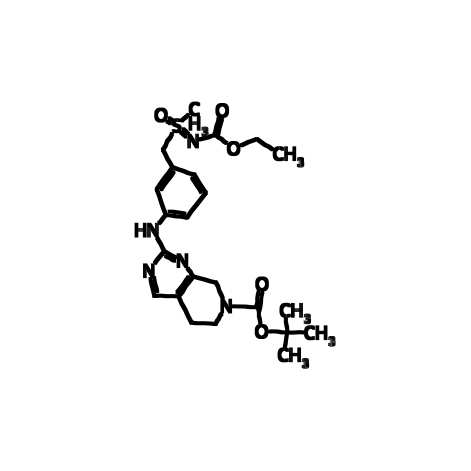 CCOC(=O)N=S(C)(=O)Cc1cccc(Nc2ncc3c(n2)CN(C(=O)OC(C)(C)C)CC3)c1